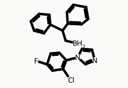 BCC(c1ccccc1)c1ccccc1.Fc1ccc(-n2ccnc2)c(Cl)c1